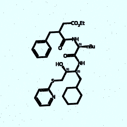 CCCC[C@H](NC(=O)C(CC(=O)OCC)Cc1ccccc1)C(=O)N[C@@H](CC1CCCCC1)[C@H](O)CSc1ccccn1